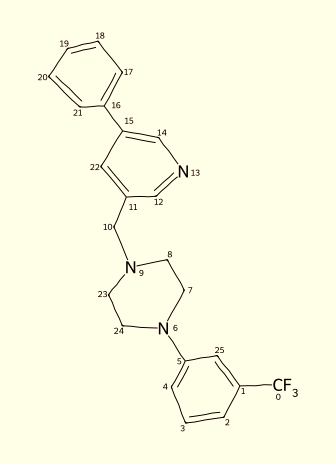 FC(F)(F)c1cccc(N2CCN(Cc3cncc(-c4ccccc4)c3)CC2)c1